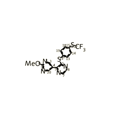 COc1ncc(-c2nccnc2Sc2ccc(SC(F)(F)F)cc2)cn1